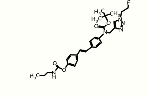 CCCNC(=O)Oc1ccc(/C=C/c2ccc(N(Cc3cn(CCF)nn3)C(=O)OC(C)(C)C)cc2)cc1